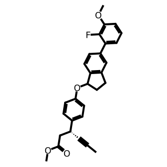 CC#C[C@H](CC(=O)OC)c1ccc(OC2CCc3cc(-c4cccc(OC)c4F)ccc32)cc1